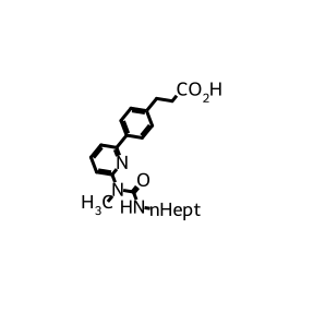 CCCCCCCNC(=O)N(C)c1cccc(-c2ccc(CCC(=O)O)cc2)n1